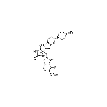 CCCN1CCN(c2ccc3oc([C@]4(CN5Cc6ccc(OC)c(F)c6C5=O)NC(=O)NC4=O)cc3n2)CC1